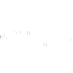 O=c1[nH]c2cccc(C(CCn3ccc4cc(F)ccc43)N3CCCCC3)c2[nH]1